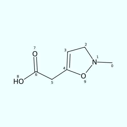 CN1CC=C(CC(=O)O)O1